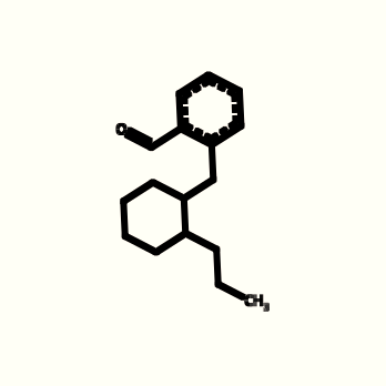 CCCC1CCCCC1Cc1ccccc1C=O